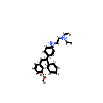 CCN(CC)CCNc1ccc(C(=Cc2cccc(OC)c2)c2ccccc2)cc1